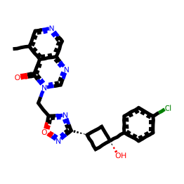 Cc1cncc2ncn(Cc3nc([C@H]4C[C@](O)(c5ccc(Cl)cc5)C4)no3)c(=O)c12